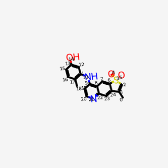 CC1=CS(=O)(=O)c2cc3c(Nc4cc(O)ccc4C)ccnc3cc21